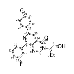 CCC(CO)n1cnc2c(-c3cccc(F)c3)nc(-c3ccc(Cl)cc3)cc2c1=O